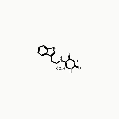 O=C(O)[C@H](Cc1c[nH]c2ccccc12)Nc1c[nH]c(=O)[nH]c1=O